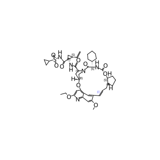 C=C[C@@H]1C[C@]1(NC(=O)[C@@H]1C[C@@H]2CN1C(=O)[C@H](C1CCCCC1)NC(=O)O[C@H]1CCC[C@@H]1C/C=C/c1cc3c(cc(OCC)nc3cc1OC)O2)C(=O)NS(=O)(=O)C1CC1